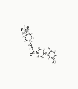 Cc1ccc(Cl)cc1N1CCN(C(=O)C#Cc2ccc(S(F)(F)(F)(F)F)cc2)CC1